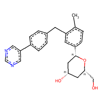 Cc1ccc([C@H]2C[C@@H](O)C[C@@H](CO)O2)cc1Cc1ccc(-c2cncnc2)cc1